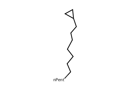 CCCCCCCCCCCCC1CC1